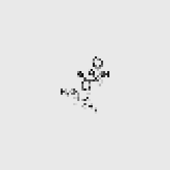 CC1Oc2cc(S(=O)(=O)Nc3ccccc3)c(Br)cc2N(C)C1=O